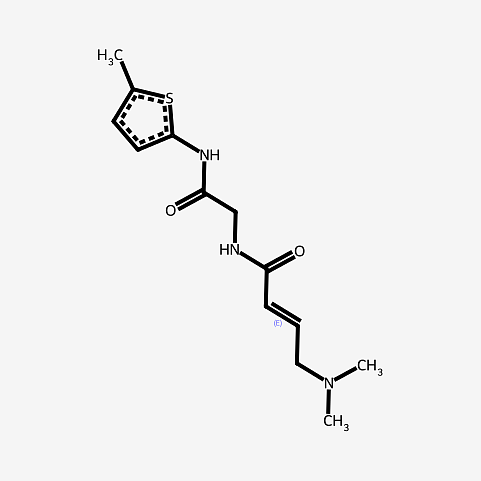 Cc1ccc(NC(=O)CNC(=O)/C=C/CN(C)C)s1